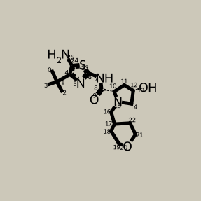 CC(C)(C)c1nc(NC(=O)[C@@H]2C[C@H](O)CN2CC2CCOCC2)sc1N